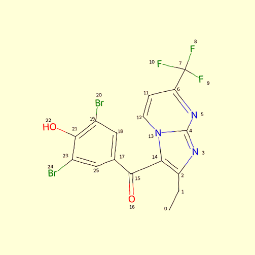 CCc1nc2nc(C(F)(F)F)ccn2c1C(=O)c1cc(Br)c(O)c(Br)c1